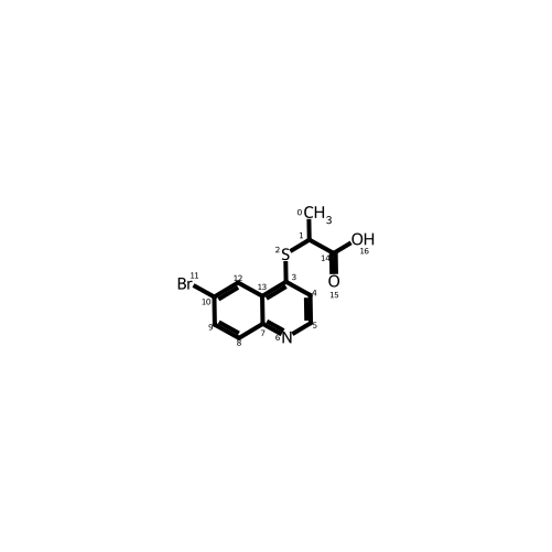 CC(Sc1ccnc2ccc(Br)cc12)C(=O)O